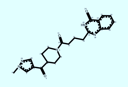 Cn1cc(C(=O)C2CCN(C(=O)CCCc3nc4ccccc4c(=O)[nH]3)CC2)cn1